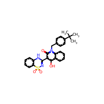 CC(C)(C)c1ccc(Cn2c(=O)c(C3=NS(=O)(=O)c4ccccc4N3)c(O)c3ccccc32)cc1